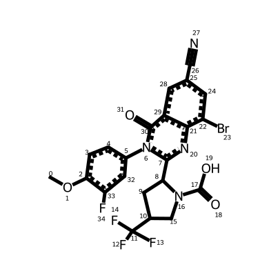 COc1ccc(-n2c(C3CC(C(F)(F)F)CN3C(=O)O)nc3c(Br)cc(C#N)cc3c2=O)cc1F